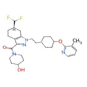 Cc1cccnc1OC1CCC(CCn2nc(C(=O)N3CCC(O)CC3)c3c2C[C@H](C(F)F)CC3)CC1